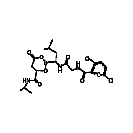 CC(C)C[C@H](NC(=O)CNC(=O)c1cc(Cl)ccc1Cl)B1OC(=O)C[C@H](C(=O)NC(C)C)O1